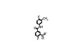 Cc1cc(NC(=O)c2ccc(F)c([N+](=O)[O-])c2)ccc1F